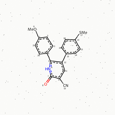 COc1ccc(-c2[nH]c(=O)c(C#N)cc2-c2ccc(SC)cc2)cc1